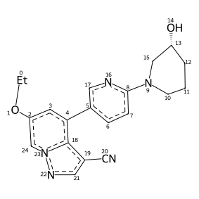 CCOc1cc(-c2ccc(N3CCC[C@@H](O)C3)nc2)c2c(C#N)cnn2c1